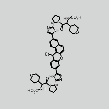 CCC1c2ccc(-c3cnc([C@@H]4CCCN4C(=O)C(NC(=O)O)C4CCOCC4)[nH]3)cc2Oc2ccc3cc(-c4cnc([C@@H]5CCCN5C(=O)C(NC(=O)O)C5CCOCC5)[nH]4)ccc3c21